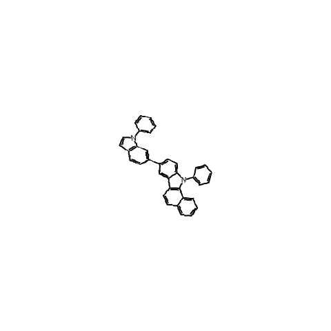 c1ccc(-n2ccc3ccc(-c4ccc5c(c4)c4ccc6ccccc6c4n5-c4ccccc4)cc32)cc1